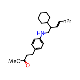 CCCC=CC(CNc1ccc(CCC(=O)OC)cc1)C1CCCCC1